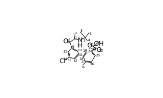 CC(NC(C)(C)C)C(=O)c1cccc(Cl)c1.Cc1ccc(S(=O)(=O)O)cc1